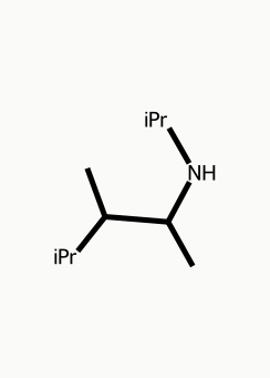 CC(C)NC(C)C(C)C(C)C